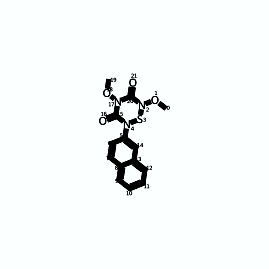 CON1SN(c2ccc3ccccc3c2)C(=O)N(OC)C1=O